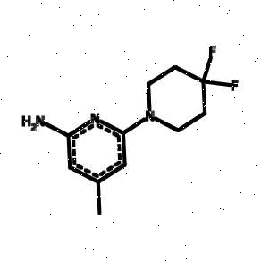 Cc1cc(N)nc(N2CCC(F)(F)CC2)c1